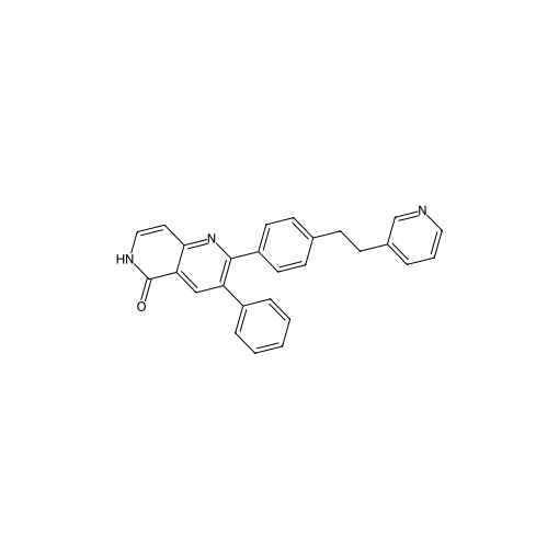 O=c1[nH]ccc2nc(-c3ccc(CCc4cccnc4)cc3)c(-c3ccccc3)cc12